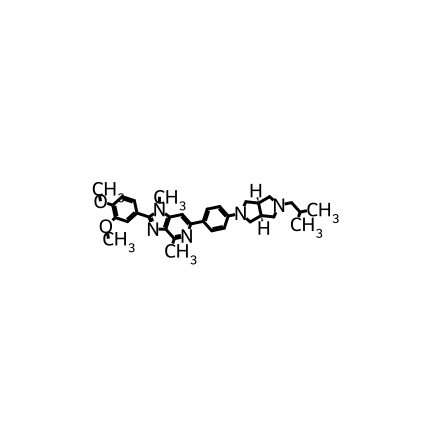 COc1ccc(-c2nc3c(C)nc(-c4ccc(N5C[C@H]6CN(CC(C)C)C[C@H]6C5)cc4)cc3n2C)cc1OC